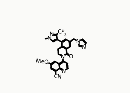 COc1cc(C#N)c2nccc(N3CCc4c(cc(Cn5ccnc5)cc4-c4cn(C)nc4C(F)(F)F)C3=O)c2c1